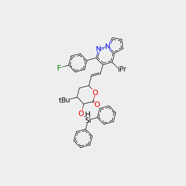 CC(C)c1c(C=CC2CC(C(C)(C)C)C(O[SiH](c3ccccc3)c3ccccc3)C(=O)O2)c(-c2ccc(F)cc2)nn2cccc12